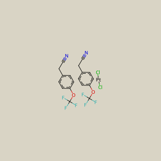 N#CCc1ccc(OC(F)(F)F)cc1.N#CCc1ccc(OC(F)(F)F)cc1.[Cl][Pt][Cl]